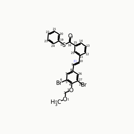 COCOc1c(Br)cc(/C=C/c2cccc(C(=O)Sc3ccccc3)c2)cc1Br